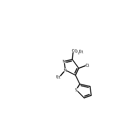 CCOC(=O)c1nn(CC)c(-c2cccs2)c1Cl